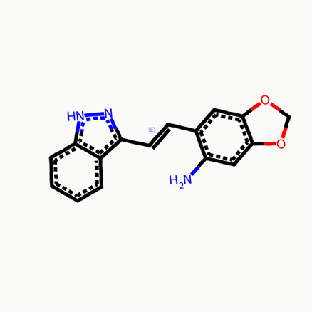 Nc1cc2c(cc1/C=C/c1n[nH]c3ccccc13)OCO2